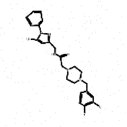 Cc1cc(CNC(=O)CN2CCN(Cc3ccc(Cl)c(Cl)c3)CC2)nn1-c1ccccc1